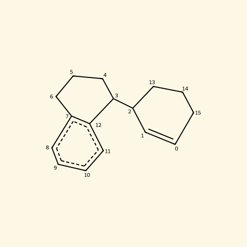 C1=CC(C2CCCc3ccccc32)CCC1